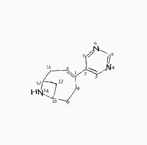 C1=C(c2cncnc2)CCC2CC(C1)N2